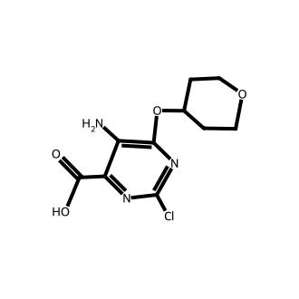 Nc1c(OC2CCOCC2)nc(Cl)nc1C(=O)O